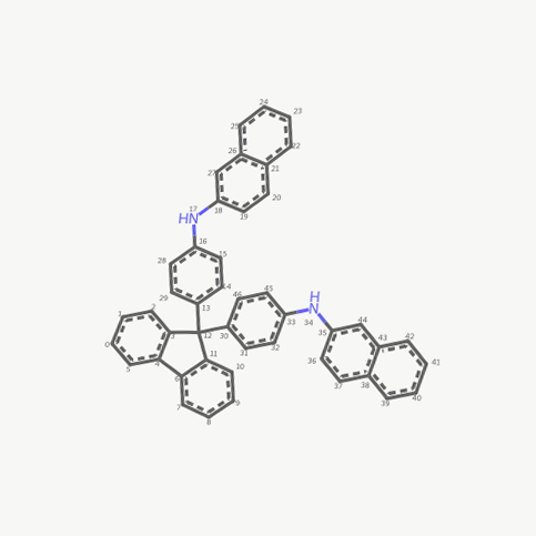 c1ccc2c(c1)-c1ccccc1C2(c1ccc(Nc2ccc3ccccc3c2)cc1)c1ccc(Nc2ccc3ccccc3c2)cc1